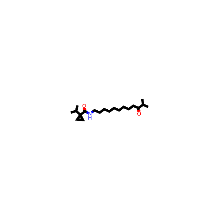 CC(C)C(=O)CCCCCCCCCNC(=O)C1(C(C)C)CC1